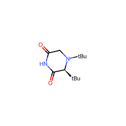 CC(C)(C)[C@H]1C(=O)NC(=O)CN1C(C)(C)C